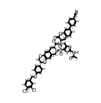 CC(=O)Nc1nc(C)c(S(=O)(=O)N2Cc3cc4c(cc3C[C@H]2C(=O)NC(Cc2ccc(-c3ccc(C#N)cc3)cc2)C(=O)O)OC[C@@H](c2ccc(OCc3ccc(Cl)c(Cl)c3)cc2)O4)s1